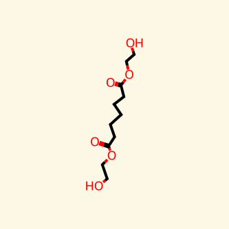 O=C(CCCCCC(=O)OCCO)OCCO